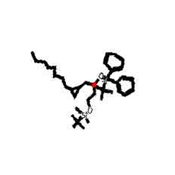 CCCCCCCCC1CC1CC(CCO[Si](C)(C)C(C)(C)C)O[Si](c1ccccc1)(c1ccccc1)C(C)(C)C